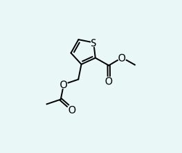 COC(=O)c1sccc1COC(C)=O